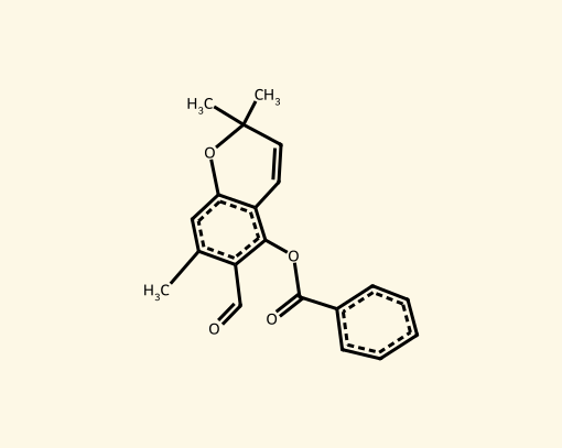 Cc1cc2c(c(OC(=O)c3ccccc3)c1C=O)C=CC(C)(C)O2